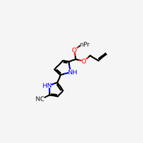 C=CCOC(OCCC)c1ccc(-c2ccc(C#N)[nH]2)[nH]1